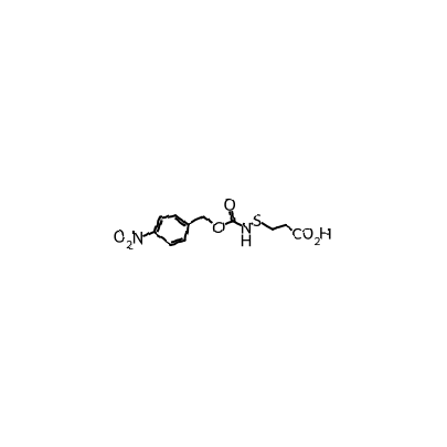 O=C(O)CCSNC(=O)OCc1ccc([N+](=O)[O-])cc1